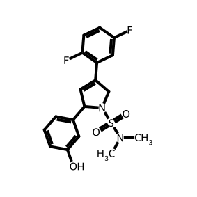 CN(C)S(=O)(=O)N1CC(c2cc(F)ccc2F)=CC1c1cccc(O)c1